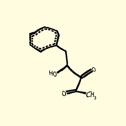 CC(=O)C(=O)C(O)Cc1ccccc1